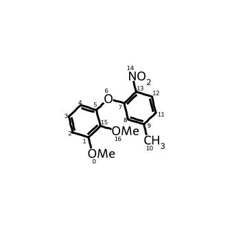 COc1cccc(Oc2cc(C)ccc2[N+](=O)[O-])c1OC